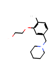 Cc1ccc(CN2CCCCC2)cc1OCCO